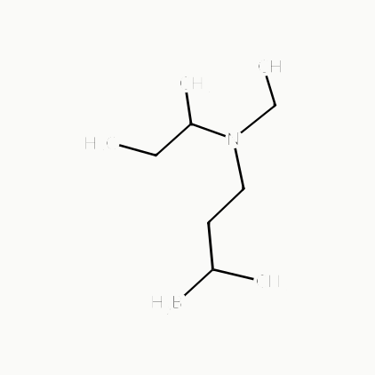 BC(C)CCN(CC)C(C)CC